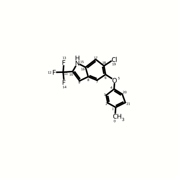 Cc1ccc(Oc2cc3cc(C(F)(F)F)[nH]c3cc2Cl)cc1